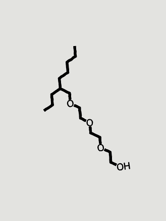 CCCCCC(CCC)COCCOCCOCCO